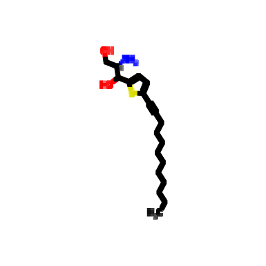 CCCCCCCCCCC#Cc1ccc(C(O)[C@@H](N)CO)s1